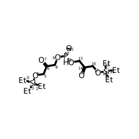 CC[Si](CC)(CC)OCC(=O)CO[PH](=O)OCC(=O)CO[Si](CC)(CC)CC